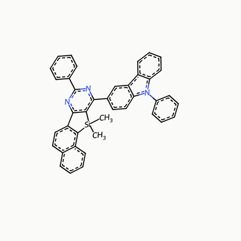 C[Si]1(C)c2c(-c3ccc4c(c3)c3ccccc3n4-c3ccccc3)nc(-c3ccccc3)nc2-c2ccc3ccccc3c21